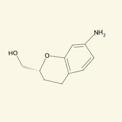 Nc1ccc2c(c1)O[C@@H](CO)CC2